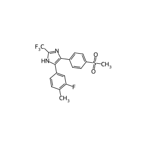 Cc1ccc(-c2[nH]c(C(F)(F)F)nc2-c2ccc(S(C)(=O)=O)cc2)cc1F